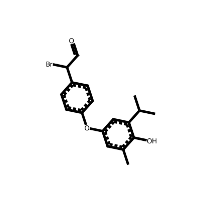 Cc1cc(Oc2ccc(C(Br)[C]=O)cc2)cc(C(C)C)c1O